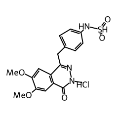 COc1cc2c(Cc3ccc(N[SH](=O)=O)cc3)nn(C)c(=O)c2cc1OC.Cl